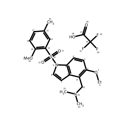 CCOc1ccc2c(ccn2S(=O)(=O)c2cc(C)ccc2OC)c1CN(C)C.O=C(O)C(F)(F)F